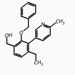 CCc1ccc(CO)c(OCc2ccccc2)c1-c1ccc(C)nc1